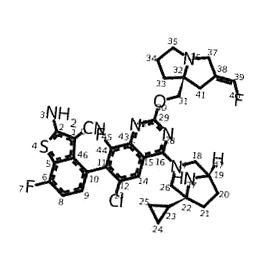 N#Cc1c(N)sc2c(F)ccc(-c3c(Cl)cc4c(N5C[C@@H]6CC[C@](C7CC7)(C5)N6)nc(OC[C@@]56CCCN5C/C(=C/F)C6)nc4c3F)c12